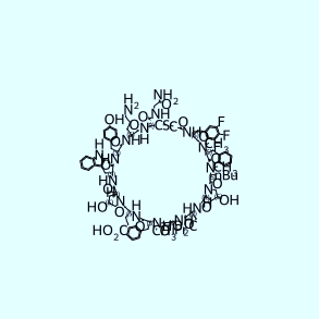 CCCC[C@H]1C(=O)N2C[C@@H](O)C[C@@H]2C(=O)N[C@@H](CC(=O)O)C(=O)N[C@@H](C(C)C)C(=O)N(C)[C@@H](Cc2ccccc2)C(=O)N[C@@H](CCC(=O)O)C(=O)N2C[C@@H](O)C[C@@H]2C(=O)N[C@@H](Cc2c[nH]c3ccccc23)C(=O)N[C@@H](Cc2ccc(O)cc2)C(=O)N[C@@H](CCCN)C(=O)N[C@H](C(=O)NCC(N)=O)CSCC(=O)N[C@@H](Cc2cc(F)c(F)c(F)c2)C(=O)N(C)[C@@H](Cc2ccccc2)C(=O)N1C